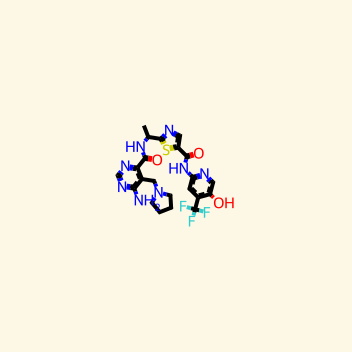 CC(NC(=O)c1ncnc(N)c1CN1CCCC1)c1ncc(C(=O)Nc2cc(C(F)(F)F)c(O)cn2)s1